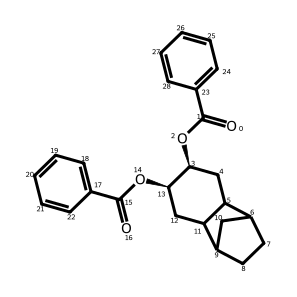 O=C(O[C@H]1CC2C3CCC(C3)C2C[C@H]1OC(=O)c1ccccc1)c1ccccc1